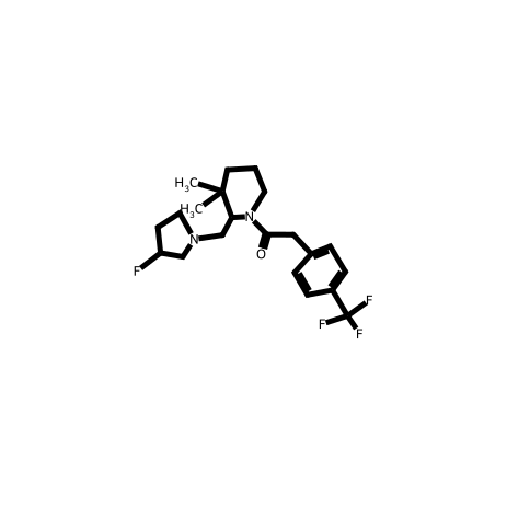 CC1(C)CCCN(C(=O)Cc2ccc(C(F)(F)F)cc2)C1CN1CCC(F)C1